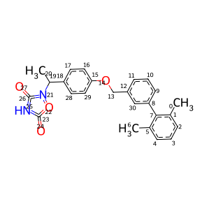 Cc1cccc(C)c1-c1cccc(COc2ccc(C(C)n3oc(=O)[nH]c3=O)cc2)c1